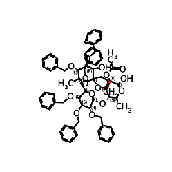 C=CC[C@@]1(O[C@@H]2[C@@H](O[C@H]3O[C@H](COCc4ccccc4)[C@@H](OCc4ccccc4)[C@H](OCc4ccccc4)[C@H]3OCc3ccccc3)[C@H](C)O[C@@H](O)[C@@H]2OC(C)=O)O[C@@H](C)[C@H](OCc2ccccc2)[C@@H](OCc2ccccc2)[C@H]1O